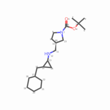 CC(C)(C)OC(=O)N1CC[C@H](CNC2CC2CC2CCCCC2)C1